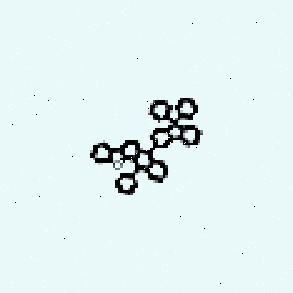 c1ccc(-c2c3ccccc3c(-c3ccc4c(c3)-c3ccccc3C4(c3ccccc3)c3ccccc3)c3ccc4c5ccccc5oc4c23)cc1